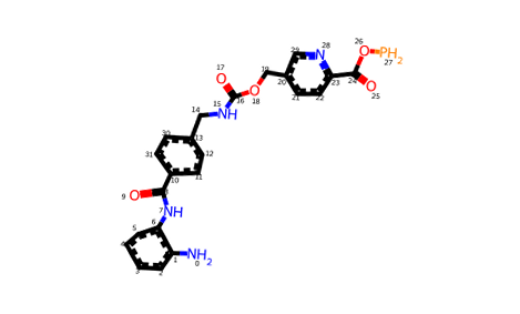 Nc1ccccc1NC(=O)c1ccc(CNC(=O)OCc2ccc(C(=O)OP)nc2)cc1